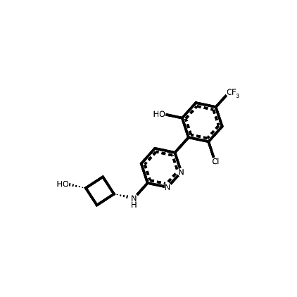 Oc1cc(C(F)(F)F)cc(Cl)c1-c1ccc(N[C@H]2C[C@@H](O)C2)nn1